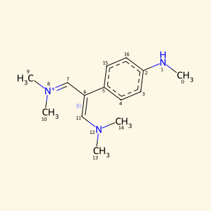 CNc1ccc(/C(C=[N+](C)C)=C\N(C)C)cc1